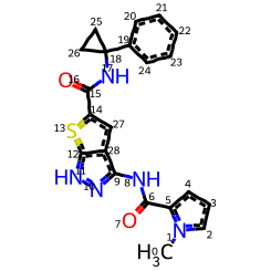 Cn1cccc1C(=O)Nc1n[nH]c2sc(C(=O)NC3(c4ccccc4)CC3)cc12